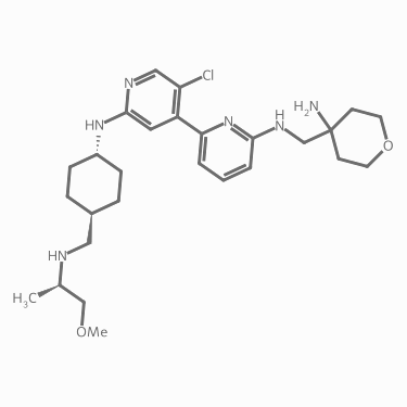 COC[C@@H](C)NC[C@H]1CC[C@H](Nc2cc(-c3cccc(NCC4(N)CCOCC4)n3)c(Cl)cn2)CC1